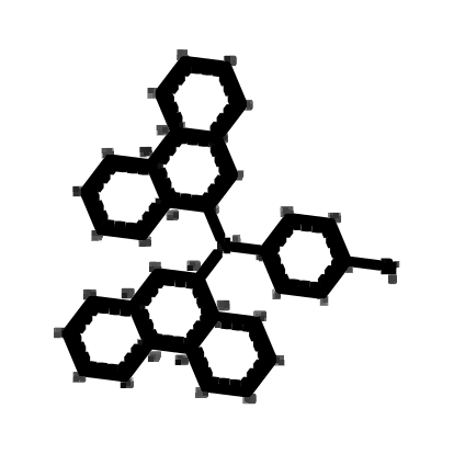 Brc1ccc(N(c2cc3ccccc3c3ccccc23)c2cc3ccccc3c3ccccc23)cc1